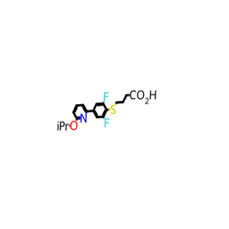 CC(C)Oc1cccc(-c2cc(F)c(SCCCC(=O)O)c(F)c2)n1